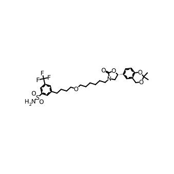 CC1(C)OCc2cc([C@@H]3CN(CCCCCCOCCCCc4cc(C(F)(F)F)cc(S(N)(=O)=O)c4)C(=O)O3)ccc2O1